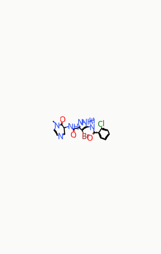 CN1C=CN=CC(NC(=O)c2n[nH]c(NC(=O)c3ccccc3Cl)c2Br)C1=O